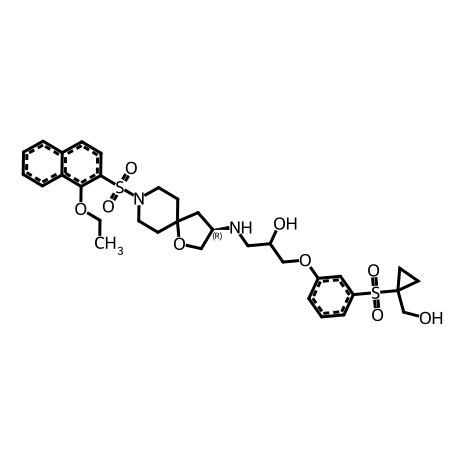 CCOc1c(S(=O)(=O)N2CCC3(CC2)C[C@@H](NCC(O)COc2cccc(S(=O)(=O)C4(CO)CC4)c2)CO3)ccc2ccccc12